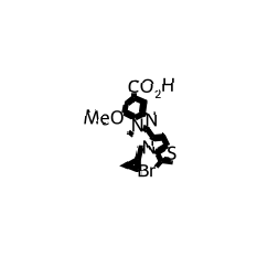 COc1cc(C(=O)O)cc2nc(-c3cc4scc(Br)c4n3CC3CC3)n(C)c12